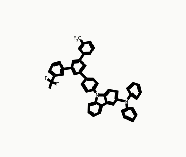 CC(F)(F)c1cccc(-c2cc(-c3ccc(-n4c5ccccc5c5cc(N(c6ccccc6)c6ccccc6)ccc54)cc3)cc(-c3cccc(C(F)(F)F)c3)c2)c1